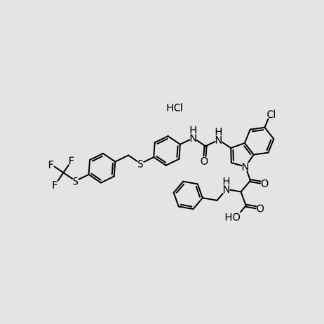 Cl.O=C(Nc1ccc(SCc2ccc(SC(F)(F)F)cc2)cc1)Nc1cn(C(=O)C(NCc2ccccc2)C(=O)O)c2ccc(Cl)cc12